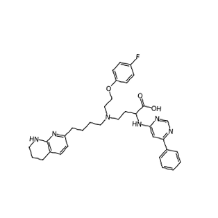 O=C(O)C(CCN(CCCCc1ccc2c(n1)NCCC2)CCOc1ccc(F)cc1)Nc1cc(-c2ccccc2)ncn1